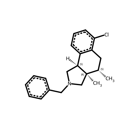 C[C@H]1Cc2c(Cl)cccc2[C@@H]2CN(Cc3ccccc3)C[C@]12C